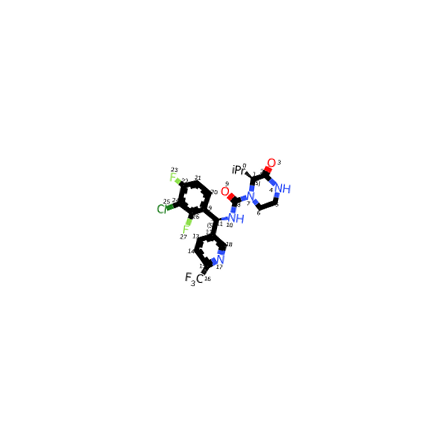 CC(C)[C@H]1C(=O)NCCN1C(=O)N[C@@H](c1ccc(C(F)(F)F)nc1)c1ccc(F)c(Cl)c1F